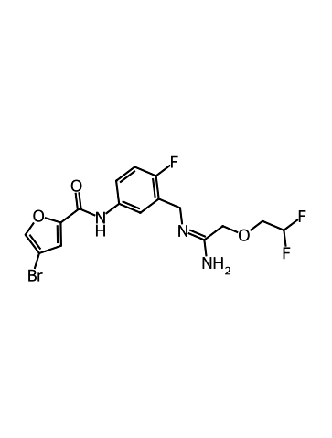 N/C(COCC(F)F)=N/Cc1cc(NC(=O)c2cc(Br)co2)ccc1F